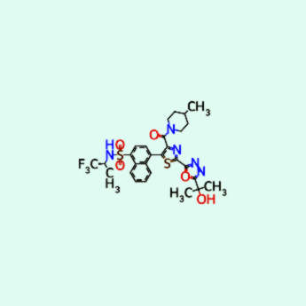 CC1CCN(C(=O)c2nc(-c3nnc(C(C)(C)O)o3)sc2-c2ccc(S(=O)(=O)N[C@@H](C)C(F)(F)F)c3ccccc23)CC1